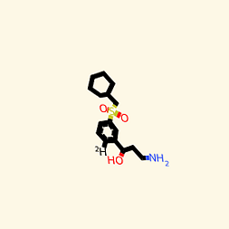 [2H]c1ccc(S(=O)(=O)CC2CCCCC2)cc1C(O)CCN